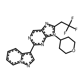 FC(F)(F)Cc1nc2cnc(-c3cnn4ccccc34)nc2n1C1CCOCC1